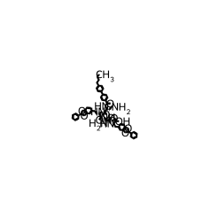 CCCCc1ccc(-c2ccc(C(=O)N[C@@H](CCN)C(=O)N[C@@H](CCc3ccc4c(c3)OC(c3ccccc3)O4)C(=O)N[C@@H](N)C(=O)NC(Cc3ccc4c(c3)OC(c3ccccc3)O4)C(=O)O)cc2)cc1